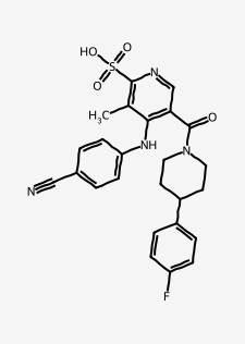 Cc1c(S(=O)(=O)O)ncc(C(=O)N2CCC(c3ccc(F)cc3)CC2)c1Nc1ccc(C#N)cc1